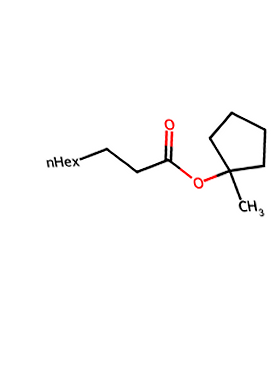 CCCCCCCCC(=O)OC1(C)CCCC1